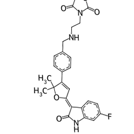 CC1(C)OC(=C2C(=O)Nc3cc(F)ccc32)C=C1c1ccc(CNCCN2C(=O)CSC2=O)cc1